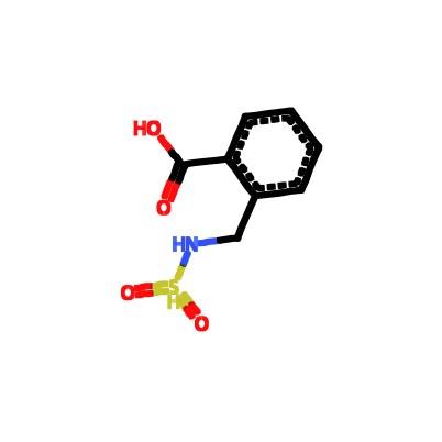 O=C(O)c1ccccc1CN[SH](=O)=O